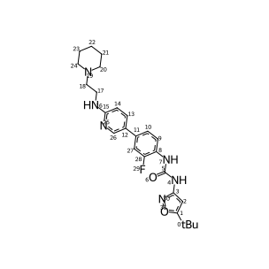 CC(C)(C)c1cc(NC(=O)Nc2ccc(-c3ccc(NCCN4CCCCC4)nc3)cc2F)no1